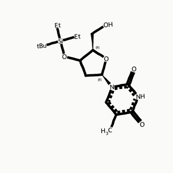 CC[Si](CC)(OC1C[C@H](n2cc(C)c(=O)[nH]c2=O)O[C@@H]1CO)C(C)(C)C